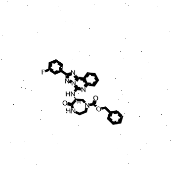 O=C1NCCN(C(=O)OCc2ccccc2)C[C@H]1Nc1nc2ccccc2c2nc(-c3cccc(F)c3)nn12